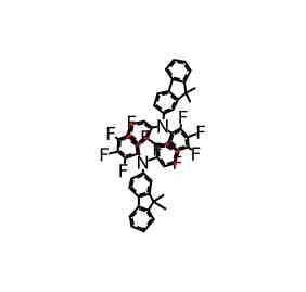 CC1(C)c2ccccc2-c2ccc(N(c3ccccc3-c3ccccc3N(c3ccc4c(c3)C(C)(C)c3ccccc3-4)c3c(F)c(F)c(F)c(F)c3F)c3c(F)c(F)c(F)c(F)c3F)cc21